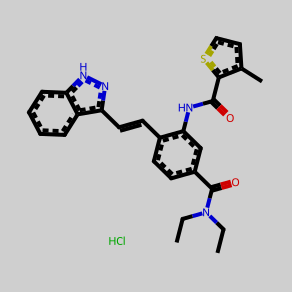 CCN(CC)C(=O)c1ccc(C=Cc2n[nH]c3ccccc23)c(NC(=O)c2sccc2C)c1.Cl